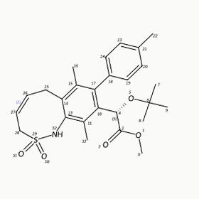 COC(=O)[C@@H](OC(C)(C)C)c1c(C)c2c(c(C)c1-c1ccc(C)cc1)C/C=C\CS(=O)(=O)N2